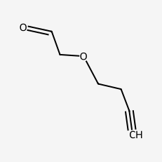 C#CCCOCC=O